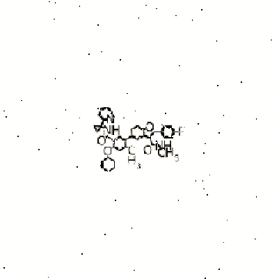 CNC(=O)c1c(-c2ccc(F)cc2)oc2ccc(-c3cc(C(=O)NC4(c5ccccn5)CC4)c(OC4CCCCC4)cc3C)cc12